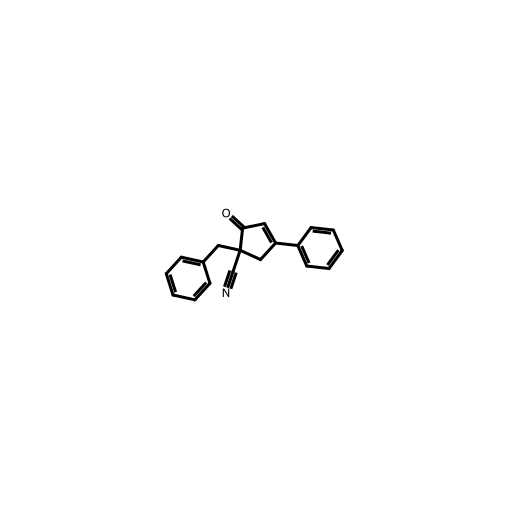 N#CC1(Cc2ccccc2)CC(c2ccccc2)=CC1=O